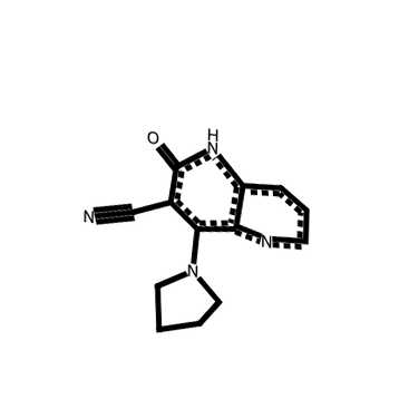 N#Cc1c(N2CCCC2)c2ncccc2[nH]c1=O